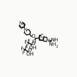 N=C(N)N1Cc2ccc(C(=O)OCC3CCN(c4ccncc4)CC3)cc2C1.O=C(O)C(F)(F)F.O=C(O)C(F)(F)F